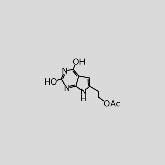 CC(=O)OCCc1cc2c(O)nc(O)nc2[nH]1